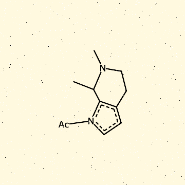 CC(=O)n1ccc2c1C(C)N(C)CC2